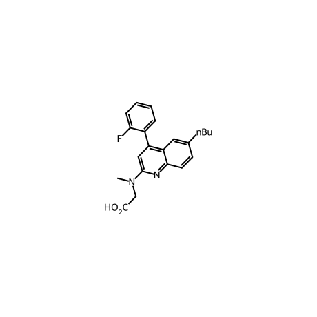 CCCCc1ccc2nc(N(C)CC(=O)O)cc(-c3ccccc3F)c2c1